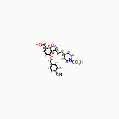 N#Cc1ccc(COc2ccc(CO)c3onc(CCC4CCN(C(=O)O)CC4)c23)cc1